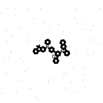 CC1(C)c2ccccc2-c2ccc(N(c3ccccc3)c3ccc(-c4cc(-n5c6ccccc6c6cc7ccccc7cc65)cc5c4oc4ccccc45)cc3)cc21